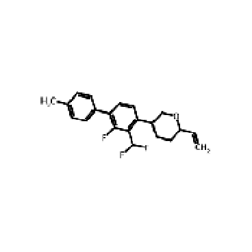 C=CC1CCC(c2ccc(-c3ccc(C)cc3)c(F)c2C(F)F)CO1